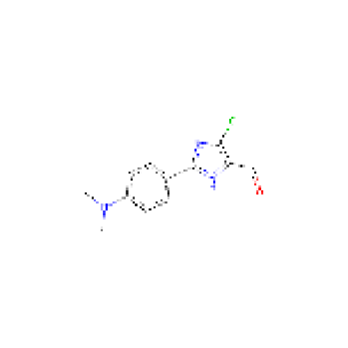 CN(C)c1ccc(-c2nc(Cl)c(C=O)[nH]2)cc1